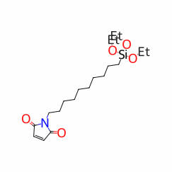 CCO[Si](CCCCCCCCCCN1C(=O)C=CC1=O)(OCC)OCC